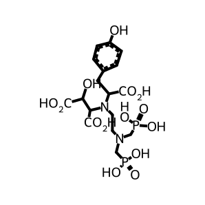 O=C(O)C(O)C(C(=O)O)N(CCN(CP(=O)(O)O)CP(=O)(O)O)C(Cc1ccc(O)cc1)C(=O)O